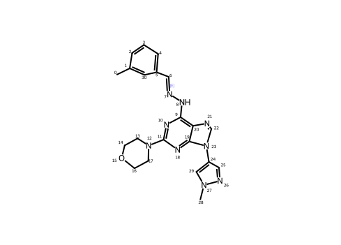 Cc1cccc(/C=N/Nc2nc(N3CCOCC3)nc3c2ncn3-c2cnn(C)c2)c1